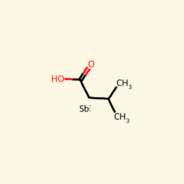 CC(C)CC(=O)O.[Sb]